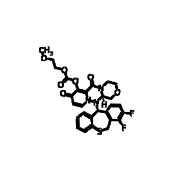 COCCOC(=O)Oc1c2n(ccc1=O)N([C@@H]1c3ccccc3SCc3c1ccc(F)c3F)[C@@H]1COCCN1C2=O